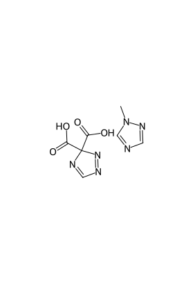 Cn1cncn1.O=C(O)C1(C(=O)O)N=CN=N1